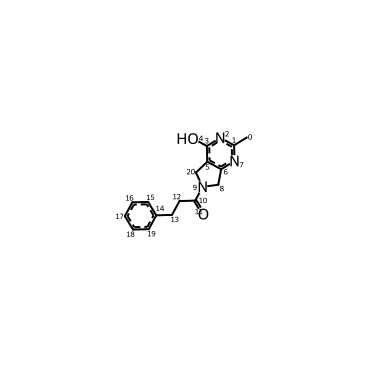 Cc1nc(O)c2c(n1)CN(C(=O)CCc1ccccc1)C2